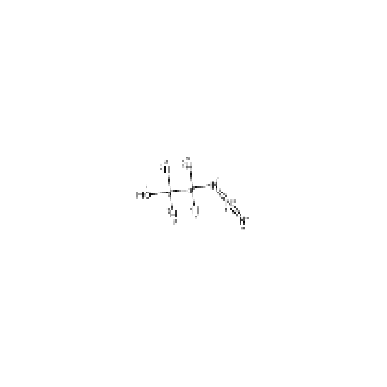 [2H]C([2H])(O)C([2H])([2H])N=[N+]=[N-]